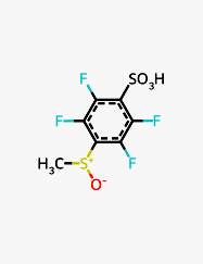 C[S+]([O-])c1c(F)c(F)c(S(=O)(=O)O)c(F)c1F